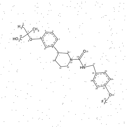 CC(C)(Oc1cccc(C2CCCN(C(=O)NCc3ccc(OC(F)(F)F)cc3)C2)c1)C(=O)O